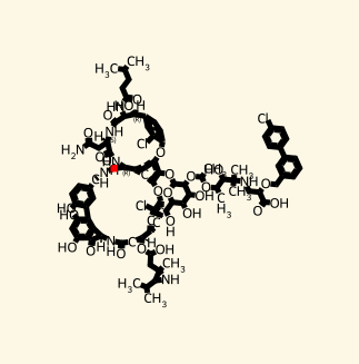 CC(C)CCC(=O)NC1C(=O)N[C@@H](CC(N)=O)C(=O)N[C@H]2C(=O)NCc3ccc(O)c(c3)-c3c(O)cc(O)cc3[C@H](C=O)NC(=O)C[C@H](OC(O)CC3(C)NC3C(C)C)c3ccc(c(Cl)c3)Oc3cc2cc(c3OC2OC(CO)C(O)C(O)C2OC(C)OC(C)C(O)C(C)(C)NCC(OCc2cccc(-c3ccc(Cl)cc3)c2)C(=O)O)Oc2ccc(cc2Cl)[C@H]1O